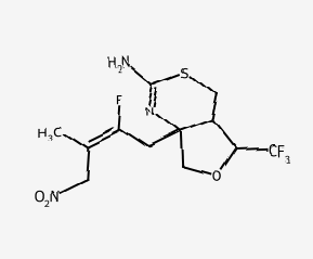 CC(C[N+](=O)[O-])=C(F)CC12COC(C(F)(F)F)C1CSC(N)=N2